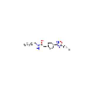 O=C(O)CNC(=O)Cc1ccc(-c2noc(C(F)(F)F)n2)cc1